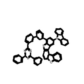 c1ccc(-c2nc(-c3ccccc3)nc(-c3cccc(-c4cccc(-c5cc(-n6c7ccccc7c7ccccc76)cc6c5sc5ccc7oc8ccccc8c7c56)c4)c3)n2)cc1